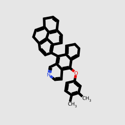 Cc1ccc(Oc2c3c(c(-c4ccc5c6c7c(ccc46)C=CCC7=CC5)c4cnccc24)=CCCC=3)cc1C